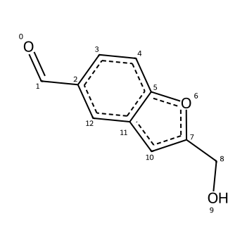 O=Cc1ccc2oc(CO)cc2c1